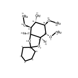 CCCCO[C@@H]1[C@H]2OC3(CCCCC3)O[C@H]2[C@@H](OCCCC)[C@H](O)[C@H]1OCCCC